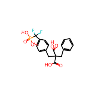 O=C(O)C(Cc1ccccc1)(Cc1ccc(C(F)(F)P(=O)(O)O)cc1)C(=O)O